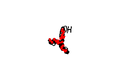 O=C(O)COc1ccc(SCC=C(c2ccc(-c3cccc(Oc4ccccc4)c3)cc2)c2ccc(-c3cccc(Oc4ccccc4)c3)cc2)cc1